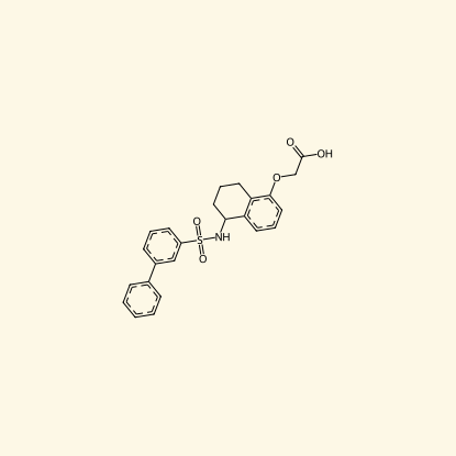 O=C(O)COc1cccc2c1CCCC2NS(=O)(=O)c1cccc(-c2ccccc2)c1